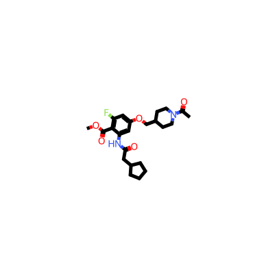 COC(=O)c1c(F)cc(OCC2CCN(C(C)=O)CC2)cc1NC(=O)CC1CCCC1